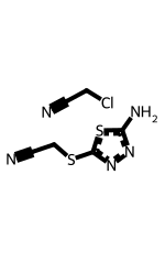 N#CCCl.N#CCSc1nnc(N)s1